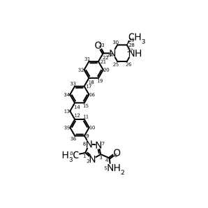 Cc1nc(C(N)=O)nn1-c1ccc(Cc2ccc(-c3ccc(C(=O)N4CCN[C@H](C)C4)cc3)cc2)cc1